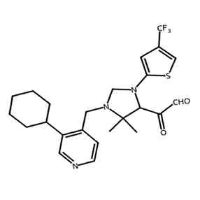 CC1(C)C(C(=O)C=O)N(c2cc(C(F)(F)F)cs2)CN1Cc1ccncc1C1CCCCC1